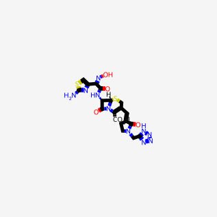 Nc1nc(/C(=N/O)C(=O)N[C@@H]2C(=O)N3C(C(=O)O)=C(C=C4CCN(Cc5nnn[nH]5)C4=O)CS[C@H]23)cs1